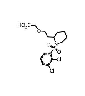 O=C(O)COCCC1CCCCN1S(=O)(=O)c1cccc(Cl)c1Cl